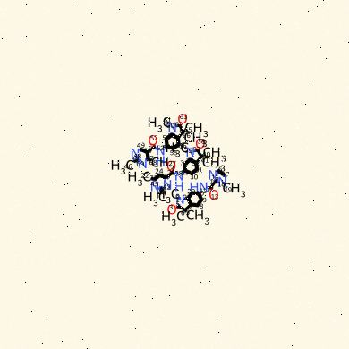 CN1C(=O)C(C)(C)c2ccc(NC(=O)c3nccn3C)cc21.Cc1cc(C(=O)Nc2ccc3c(c2)N(C)C(=O)C3(C)C)nc(C)n1.Cc1ncc(C(=O)Nc2ccc3c(c2)N(C)C(=O)C3(C)C)c(C)n1